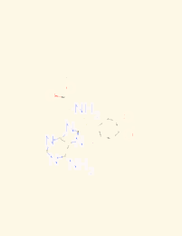 Nc1ncnc2c1nc(Sc1cc3c(cc1I)OCO3)n2CC(N)C(=O)OC1CCCC1